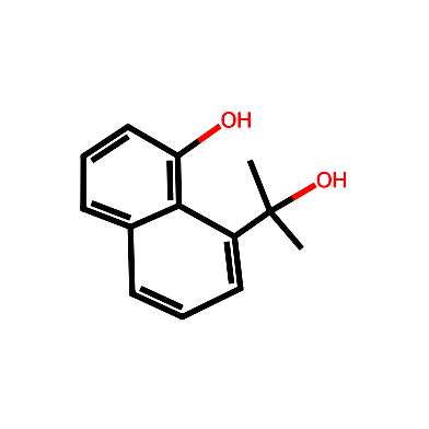 CC(C)(O)c1cccc2cccc(O)c12